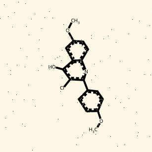 COc1ccc(-c2nc3ccc(OC)cc3c(O)c2Cl)cc1